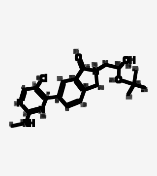 CNc1ncc(Cl)c(-c2ccc3c(c2)C(=O)N(CC(O)OC(C)(C)C)C3)n1